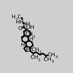 CCNNC(=O)[C@@]1(O)CC[C@@]2(C)C(=CC[C@H]3[C@@H]4CC[C@H]([C@H](C)CCCC(C)C)[C@@]4(C)CC[C@@H]32)C1